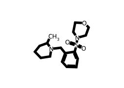 CC1CCCCN1Cc1ccccc1S(=O)(=O)N1CCOCC1